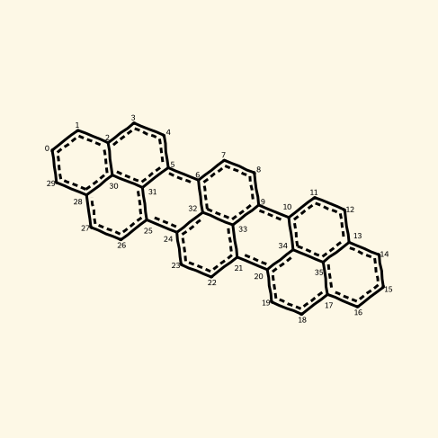 c1cc2ccc3c4ccc5c6ccc7cccc8ccc(c9ccc(c%10ccc(c1)c2c3%10)c4c59)c6c78